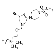 C[Si](C)(C)CCOCN1C=C(Br)N=C(N2CCN(S(C)(=O)=O)CC2)C1